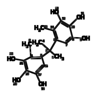 Cc1c(C(C)(C)c2cc(O)c(O)c(O)c2C)cc(O)c(O)c1O